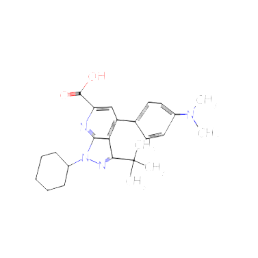 CN(C)c1ccc(-c2cc(C(=O)O)nc3c2c(C(C)(C)C)nn3C2CCCCC2)cc1